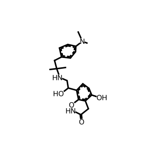 CN(C)c1ccc(CC(C)(C)NCC(O)c2ccc(O)c3c2ONC(=O)C3)cc1